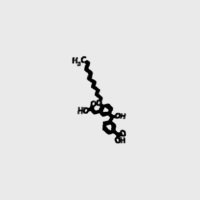 CCCCCCCCCCOc1ccc(C(O)c2cccc(C(=O)O)c2)cc1CC(=O)O